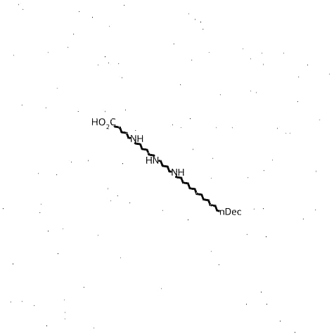 CCCCCCCCCCCCCCCCCCCCCCCNCCCCNCCCCCCNCCCCCC(=O)O